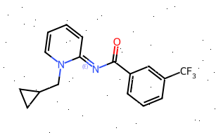 O=C(/N=c1\ccccn1CC1CC1)c1cccc(C(F)(F)F)c1